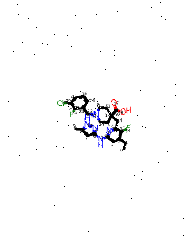 CCc1cc(Nc2cc(C)[nH]n2)nc(CC2(C(=O)O)CCN(Cc3cccc(Cl)c3F)CC2)c1F